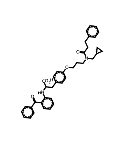 O=C(c1ccccc1)c1ccccc1NC(Cc1ccc(OCCCN(CC2CC2)C(=O)CCc2ccccc2)cc1)C(=O)O